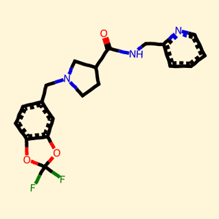 O=C(NCc1ccccn1)C1CCN(Cc2ccc3c(c2)OC(F)(F)O3)C1